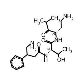 CC(C)C(=O)[C@H](CCN)NC(=O)[C@@H](NC(=O)CC(CN)c1ccccc1)C(C)O